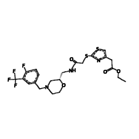 CCOC(=O)Cc1csc(SCC(=O)NC[C@H]2CN(Cc3ccc(F)c(C(F)(F)F)c3)CCO2)n1